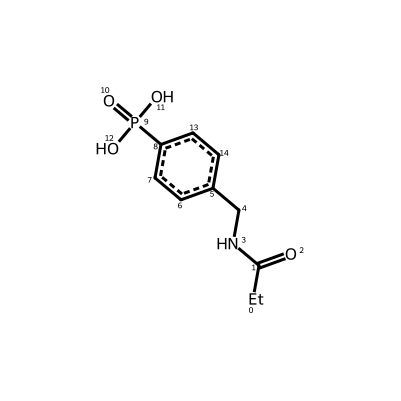 [CH2]CC(=O)NCc1ccc(P(=O)(O)O)cc1